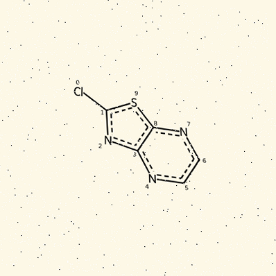 Clc1nc2nccnc2s1